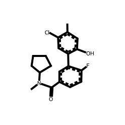 Cc1cc(O)c(-c2cc(C(=O)N(C)C3CCCC3)ccc2F)cc1Cl